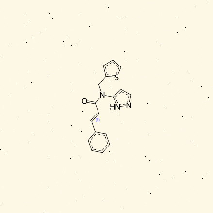 O=C(/C=C/c1ccccc1)N(Cc1cccs1)c1ccn[nH]1